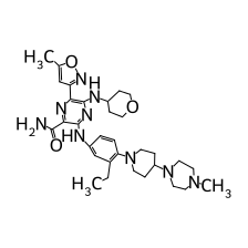 CCc1cc(Nc2nc(NC3CCOCC3)c(-c3cc(C)on3)nc2C(N)=O)ccc1N1CCC(N2CCN(C)CC2)CC1